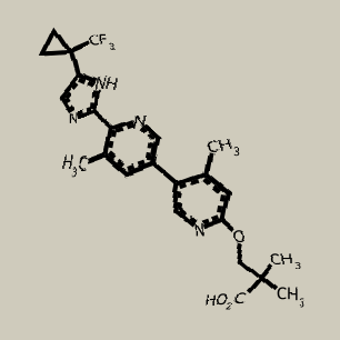 Cc1cc(OCC(C)(C)C(=O)O)ncc1-c1cnc(-c2ncc(C3(C(F)(F)F)CC3)[nH]2)c(C)c1